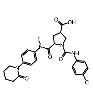 O=C(O)C1CC(C(=O)N(F)c2ccc(N3CCCCC3=O)cc2)N(C(=O)Nc2ccc(Cl)cc2)C1